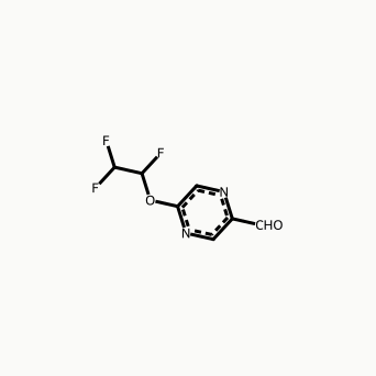 O=Cc1cnc(OC(F)C(F)F)cn1